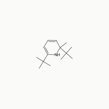 CC(C)(C)C1=CC=CC(C)(C(C)(C)C)N1